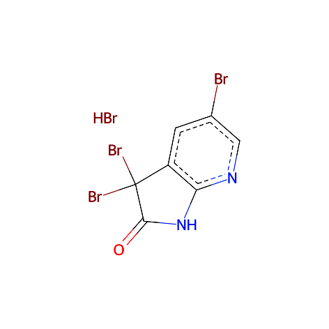 Br.O=C1Nc2ncc(Br)cc2C1(Br)Br